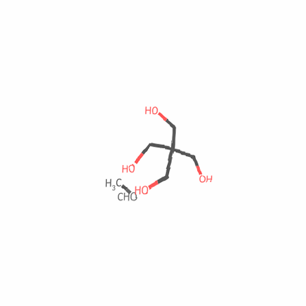 CC=O.OCC(CO)(CO)CO